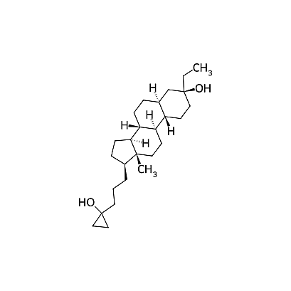 CC[C@]1(O)CC[C@H]2[C@@H](CC[C@@H]3[C@@H]2CC[C@]2(C)[C@@H](CCCC4(O)CC4)CC[C@@H]32)C1